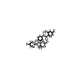 O=C(Nc1ccc(F)c([C@]23CN(c4ncc(F)cn4)C[C@H]2CSC(I)=N3)c1)c1ncc(F)cc1F